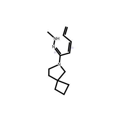 C=C/C=C\C(=N/NC)N1CCC2(CCC2)C1